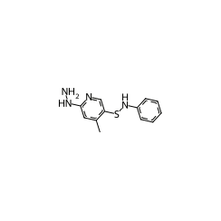 Cc1cc(NN)ncc1SNc1ccccc1